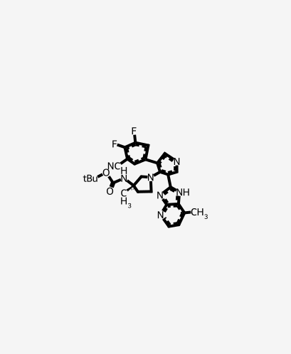 Cc1ccnc2nc(-c3cncc(-c4cc(F)c(F)c(C#N)c4)c3N3CC[C@](C)(NC(=O)OC(C)(C)C)C3)[nH]c12